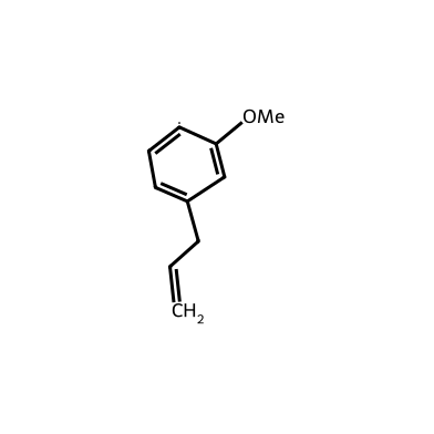 C=CCc1cc[c]c(OC)c1